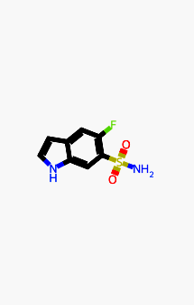 NS(=O)(=O)c1cc2[nH]ccc2cc1F